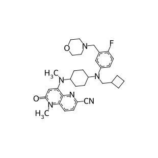 CN(c1cc(=O)n(C)c2ccc(C#N)nc12)C1CCC(N(CC2CCC2)c2ccc(F)c(CN3CCOCC3)c2)CC1